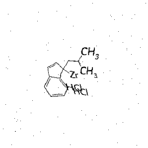 CC(C)C[C]1([Zr])C=Cc2ccccc21.Cl.Cl